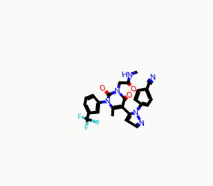 CNC(=O)Cn1c(=O)c(-c2ccnn2-c2ccc(C#N)cc2)c(C)n(-c2cccc(C(F)(F)F)c2)c1=O